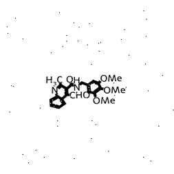 COc1cc(CNC(=O)c2c(C)nc3ccccc3c2C=O)cc(OC)c1OC